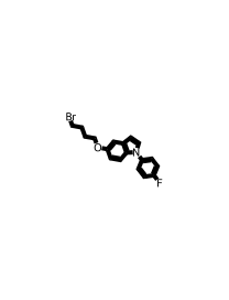 Fc1ccc(-n2ccc3cc(OCCCCBr)ccc32)cc1